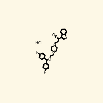 Cl.O=C=C(CCN1CCN(CCOC(c2ccc(F)cc2)c2ccc(F)cc2)CC1)c1csc2ccccc12